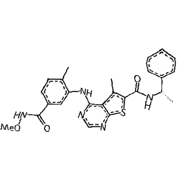 CONC(=O)c1ccc(C)c(Nc2ncnc3sc(C(=O)N[C@@H](C)c4ccccc4)c(C)c23)c1